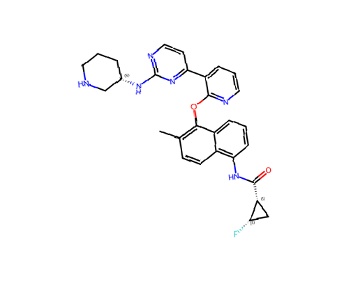 Cc1ccc2c(NC(=O)[C@@H]3C[C@@H]3F)cccc2c1Oc1ncccc1-c1ccnc(N[C@H]2CCCNC2)n1